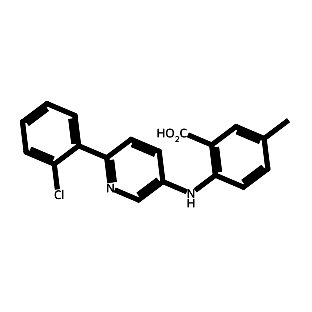 Cc1ccc(Nc2ccc(-c3ccccc3Cl)nc2)c(C(=O)O)c1